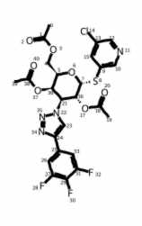 CC(=O)OC[C@H]1O[C@H](Sc2cncc(Cl)c2)[C@H](OC(C)=O)[C@@H](n2cc(-c3cc(F)c(F)c(F)c3)nn2)[C@H]1OC(C)=O